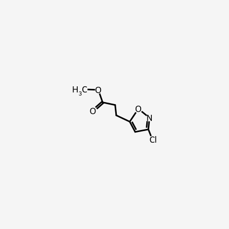 COC(=O)CCc1cc(Cl)no1